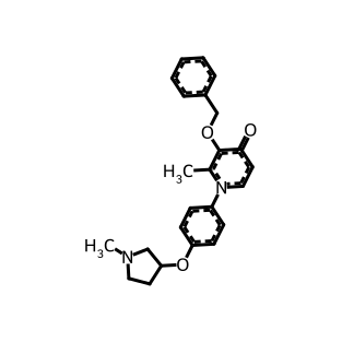 Cc1c(OCc2ccccc2)c(=O)ccn1-c1ccc(OC2CCN(C)C2)cc1